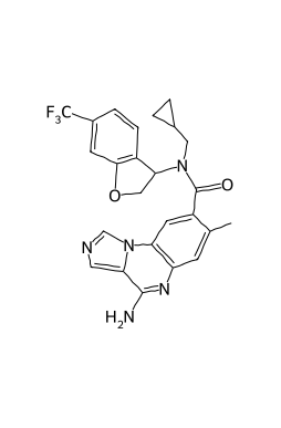 Cc1cc2nc(N)c3cncn3c2cc1C(=O)N(CC1CC1)C1COc2cc(C(F)(F)F)ccc21